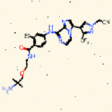 CCc1cc(Nc2nccn3c(-c4cn(CC#N)nc4C(F)(F)F)cnc23)ccc1C(=O)NCCOCC(C)(C)N